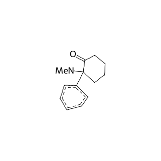 CNC1(c2ccccc2)CCCCC1=O